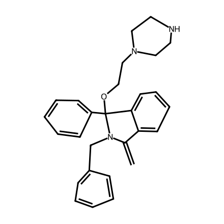 C=C1c2ccccc2C(OCCN2CCNCC2)(c2ccccc2)N1Cc1ccccc1